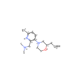 CCc1ccc(N2CCOC(COC)C2)c(CN(C)C)n1